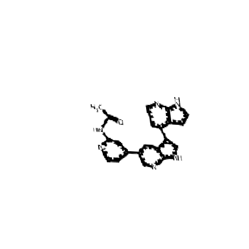 CC(=O)Nc1cc(-c2cnc3[nH]cc(-c4ccnc5[nH]ccc45)c3c2)ccn1